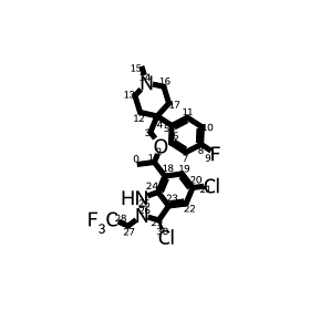 CC(OCC1(c2ccc(F)cc2)CCN(C)CC1)c1cc(Cl)cc2c1NN(CC(F)(F)F)[C@@H]2Cl